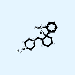 COc1ccccc1C1(O)CCCCC1CN1CCN(C)CC1